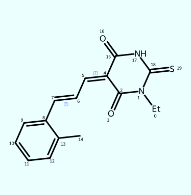 CCN1C(=O)/C(=C\C=C\c2ccccc2C)C(=O)NC1=S